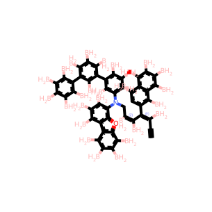 B/C(CN(c1c(B)c(B)c(B)c(-c2c(B)c(B)c(B)c(-c3c(B)c(B)c(B)c(B)c3B)c2B)c1B)c1c(B)c(B)c(B)c2c1oc1c(B)c(B)c(B)c(B)c12)=C(B)/C(=C(/B)C#C)c1cc(B)c2c(B)c(B)c(B)c(B)c2c1B